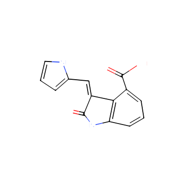 O=C1Nc2cccc(C(=O)O)c2C1=Cc1ccc[nH]1